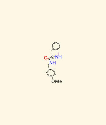 COc1ccc(CNC(=O)[C@H](Cc2ccccc2)NI)cc1